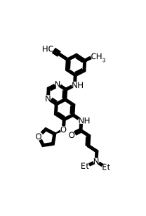 C#Cc1cc(C)cc(Nc2ncnc3cc(O[C@H]4CCOC4)c(NC(=O)C=CCN(CC)CC)cc23)c1